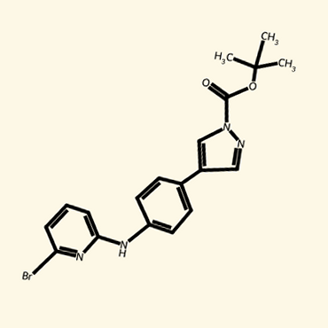 CC(C)(C)OC(=O)n1cc(-c2ccc(Nc3cccc(Br)n3)cc2)cn1